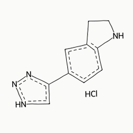 Cl.c1cc2c(cc1-c1c[nH]nn1)CCN2